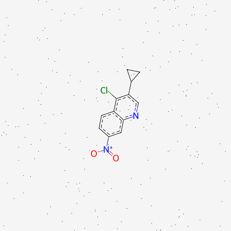 O=[N+]([O-])c1ccc2c(Cl)c(C3CC3)cnc2c1